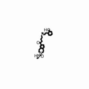 CCNC(=O)N1CCc2ccc(C(=O)CCCCN(C)CCc3ccccc3O)cc2CC1